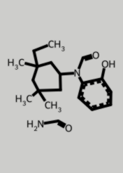 CCC1(C)CC(N(C=O)c2ccccc2O)CC(C)(C)C1.NC=O